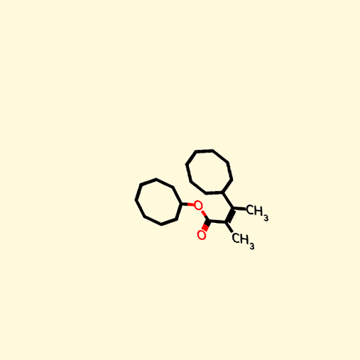 CC(C(=O)OC1CCCCCCC1)=C(C)C1CCCCCCC1